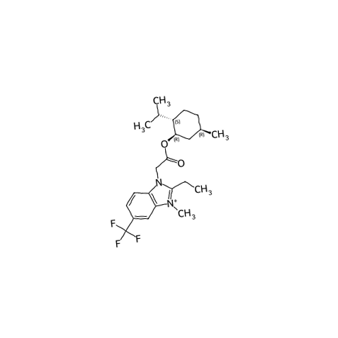 CCc1n(CC(=O)O[C@@H]2C[C@H](C)CC[C@H]2C(C)C)c2ccc(C(F)(F)F)cc2[n+]1C